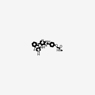 CNC(=O)COc1ccc(-c2nc3c(N[C@@]4(Cc5ccccc5OC)CCNC4)c(Cl)cnc3[nH]2)cc1